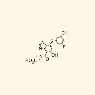 Cc1cc(F)cc(Sc2cc(O)c(C(=O)NCC(=O)O)c3ncnn23)c1